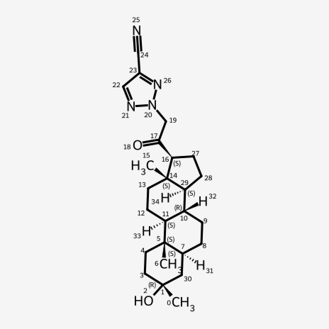 C[C@@]1(O)CC[C@@]2(C)[C@@H](CC[C@@H]3[C@@H]2CC[C@]2(C)[C@@H](C(=O)Cn4ncc(C#N)n4)CC[C@@H]32)C1